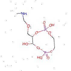 CNCOCC1OP(=O)(O)OCCOP(=O)(O)OC1O